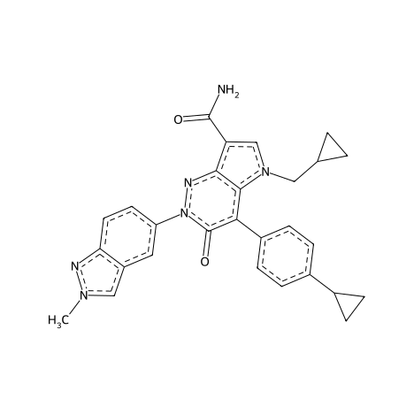 Cn1cc2cc(-n3nc4c(C(N)=O)cn(CC5CC5)c4c(-c4ccc(C5CC5)cc4)c3=O)ccc2n1